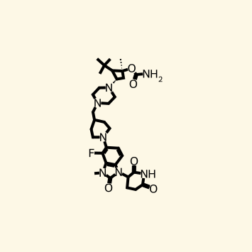 Cn1c(=O)n(C2CCC(=O)NC2=O)c2ccc(N3CCC(CN4CCN([C@H]5C[C@](C)(OC(N)=O)C5C(C)(C)C)CC4)CC3)c(F)c21